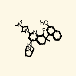 CN(C)C1CN(c2cc(N3CC4CCC(C3)N4)c3c(n2)=C(F)C(C)(c2cc(O)cc4ccccc24)CC=3)C1